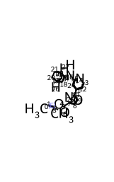 C/C=C(\C)OC(=O)c1coc(-c2ccnc(N[C@@H]3C[C@H]4CC[C@@H]3C4)c2)n1